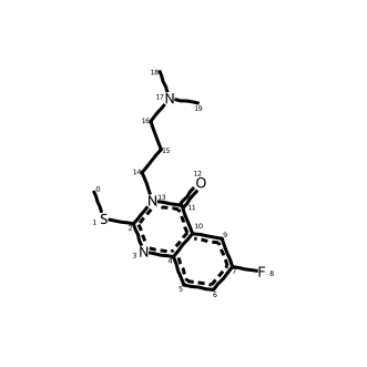 CSc1nc2ccc(F)cc2c(=O)n1CCCN(C)C